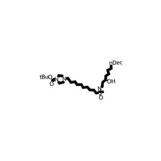 CCCCCCCCCCCCCC[C@@H](O)CCN=S(C)(=O)CCCCCCCCCCN1CCN(C(=O)OC(C)(C)C)CC1